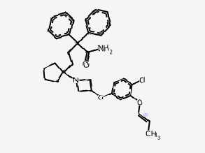 C/C=C/Oc1cc(OC2CN(C3(CCC(C(N)=O)(c4ccccc4)c4ccccc4)CCCC3)C2)ccc1Cl